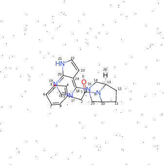 O=C(Cc1ccccc1)N1C2CC[C@@H]1CN(c1ncnc3[nH]ccc13)C2